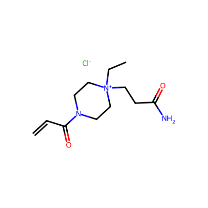 C=CC(=O)N1CC[N+](CC)(CCC(N)=O)CC1.[Cl-]